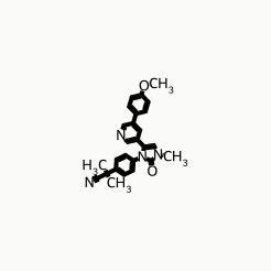 COc1ccc(-c2cncc(-c3cn(C)c(=O)n3-c3ccc(C(C)(C)C#N)cc3)c2)cc1